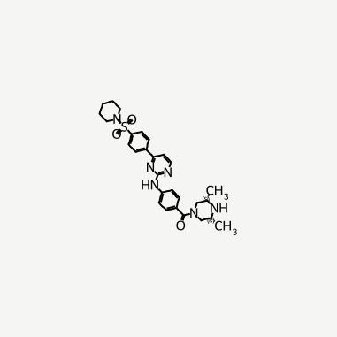 C[C@@H]1CN(C(=O)c2ccc(Nc3nccc(-c4ccc(S(=O)(=O)N5CCCCC5)cc4)n3)cc2)C[C@H](C)N1